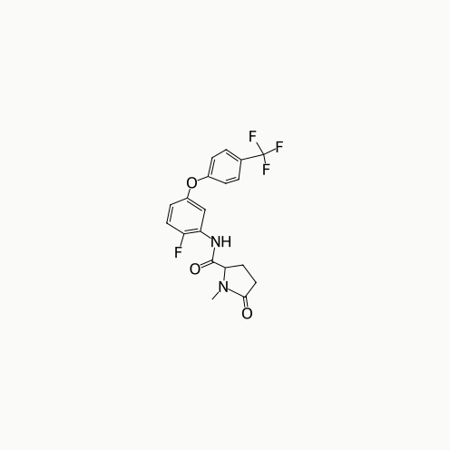 CN1C(=O)CCC1C(=O)Nc1cc(Oc2ccc(C(F)(F)F)cc2)ccc1F